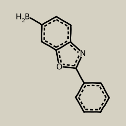 Bc1ccc2nc(-c3ccccc3)oc2c1